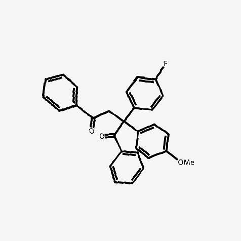 COc1ccc(C(CC(=O)c2ccccc2)(C(=O)c2ccccc2)c2ccc(F)cc2)cc1